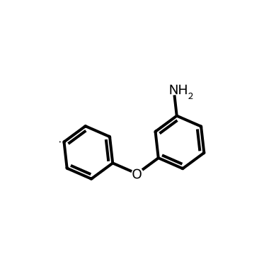 Nc1cccc(Oc2cc[c]cc2)c1